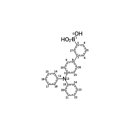 OB(O)c1cccc(-c2ccc(N(c3ccccc3)c3ccccc3)cc2)c1